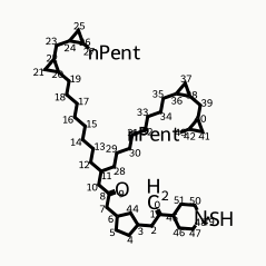 C=C(CC1CCC(CC(=O)CC(CCCCCCCCC2CC2CC2CC2CCCCC)CCCCCCCCC2CC2CC2CC2CCCCC)C1)C1CCN(S)CC1